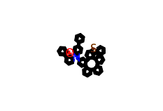 c1ccc(-c2ccc(N(c3ccc4c5ccccc5c5ccccc5c5ccccc5c5c(ccc6sc7ccccc7c65)c4c3)c3cccc4c3oc3ccccc34)cc2)cc1